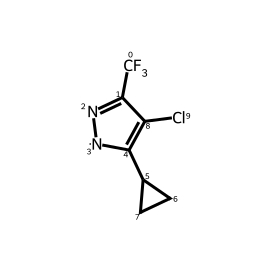 FC(F)(F)C1=N[N]C(C2CC2)=C1Cl